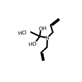 C=CCN(CC=C)C(C)(O)O.Cl